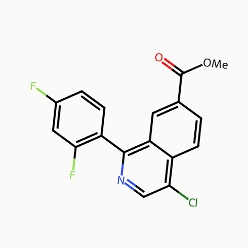 COC(=O)c1ccc2c(Cl)cnc(-c3ccc(F)cc3F)c2c1